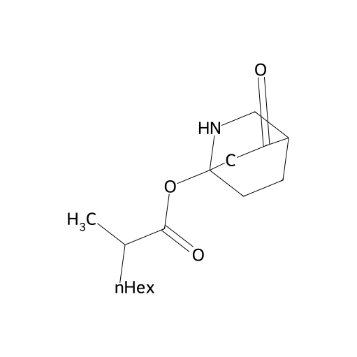 CCCCCCC(C)C(=O)OC12CCC(CN1)C(=O)C2